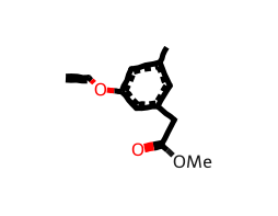 C=COc1cc(C)cc(CC(=O)OC)c1